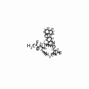 C=C(F)C(=O)N1CCN(c2nc(OC[C@@H]3C[C@@H](F)CN3C)nc3cc(-c4cccc5cccc(Cl)c45)ccc23)C[C@@H]1CC#N